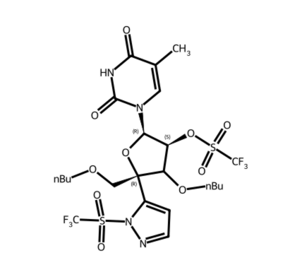 CCCCOC[C@@]1(c2ccnn2S(=O)(=O)C(F)(F)F)O[C@@H](n2cc(C)c(=O)[nH]c2=O)[C@@H](OS(=O)(=O)C(F)(F)F)C1OCCCC